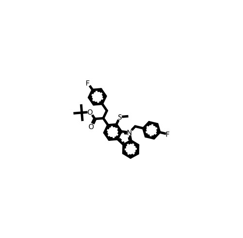 CSc1c(C(Cc2ccc(F)cc2)C(=O)OC(C)(C)C)ccc2c3ccccc3n(Cc3ccc(F)cc3)c12